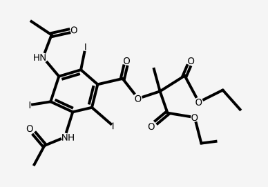 CCOC(=O)C(C)(OC(=O)c1c(I)c(NC(C)=O)c(I)c(NC(C)=O)c1I)C(=O)OCC